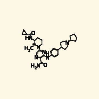 C[C@@H]1C(NC(=O)C2CC2)CCCN1c1cnc(C(N)=O)c(Nc2ccc(C3CCN(C4CCCC4)CC3)cc2)n1